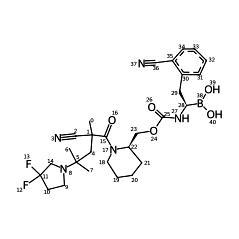 CC(C#N)(CC(C)(C)N1CCC(F)(F)C1)C(=O)N1CCCC[C@@H]1COC(=O)N[C@@H](Cc1ccccc1C#N)B(O)O